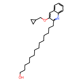 OCCCCCCCCCCCCCCc1nc2ccccc2cc1OCC1CC1